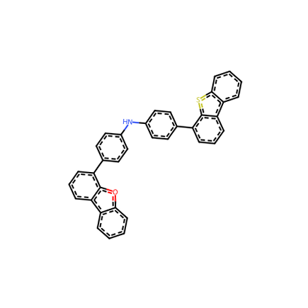 c1ccc2c(c1)oc1c(-c3ccc(Nc4ccc(-c5cccc6c5sc5ccccc56)cc4)cc3)cccc12